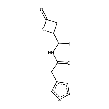 O=C(Cc1ccsc1)NC(I)C1CC(=O)N1